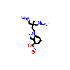 CC(CCn1ncc2c(C(=O)N=O)cccc21)(CN=[N+]=[N-])CN=[N+]=[N-]